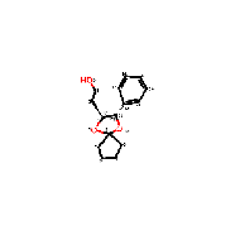 OCC[C@@H]1OC2(CCCC2)O[C@H]1c1ccccc1